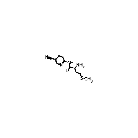 CSCCC(N)C(=O)NC1=NCC(C#N)CC1